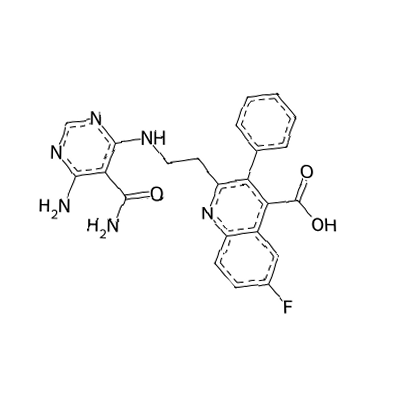 NC(=O)c1c(N)ncnc1NCCc1nc2ccc(F)cc2c(C(=O)O)c1-c1ccccc1